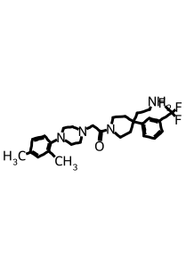 Cc1ccc(N2CCN(CC(=O)N3CCC(CCN)(c4cccc(C(F)(F)F)c4)CC3)CC2)c(C)c1